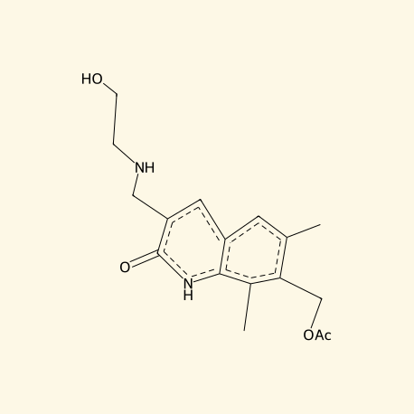 CC(=O)OCc1c(C)cc2cc(CNCCO)c(=O)[nH]c2c1C